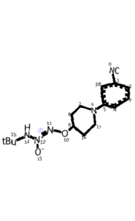 [C-]#[N+]c1cccc(N2CCC(O/N=[N+](\[O-])NC(C)(C)C)CC2)c1